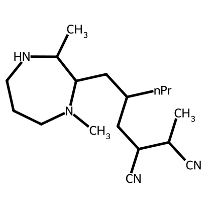 CCCC(CC(C#N)C(C)C#N)CC1C(C)NCCCN1C